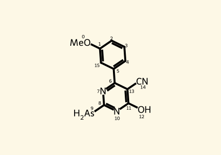 COc1cccc(-c2nc([AsH2])nc(O)c2C#N)c1